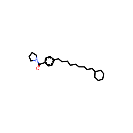 O=C(c1ccc(CCCCCCCCCC2CCCCC2)cc1)N1CCCC1